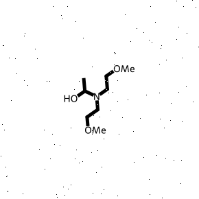 COCCN(CCOC)C(C)O